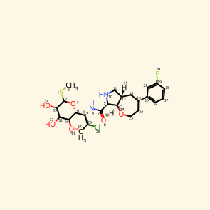 CSC1O[C@H]([C@H](NC(=O)[C@H]2NC[C@@H]3C[C@@H](c4cccc(F)c4)CCO[C@H]32)[C@H](C)Cl)[C@@H](O)C(O)[C@H]1O